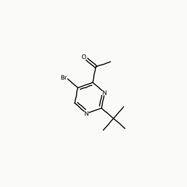 CC(=O)c1nc(C(C)(C)C)ncc1Br